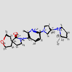 Cc1nc(N2CC[C@@H](N3CCC[C@@H]3C)C2)ccc1N1CCC2(CCOCC2)C1=O